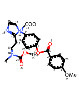 COc1ccc(C(=O)Oc2ccc([N+]3(C(=O)[O-])C=CN=C3CCN(C)C(=O)OC(C)(C)C)cc2)cc1